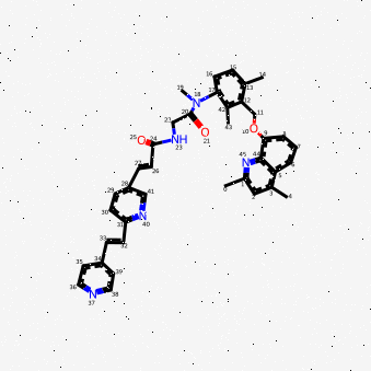 Cc1cc(C)c2cccc(OCc3c(C)ccc(N(C)C(=O)CNC(=O)/C=C/c4ccc(/C=C/c5ccncc5)nc4)c3C)c2n1